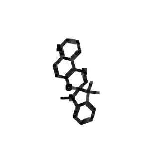 CN1c2ccccc2C(C)(C)C12C=Nc1c(ccc3ncccc13)O2